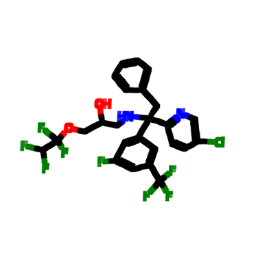 OC(CN[C@@](Cc1ccccc1)(c1cc(F)cc(C(F)(F)F)c1)c1ccc(Cl)cn1)COC(F)(F)C(F)F